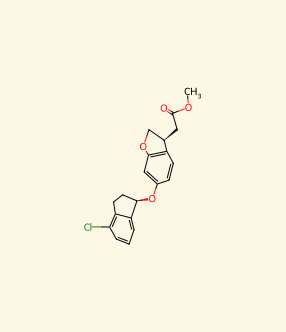 COC(=O)C[C@@H]1COc2cc(O[C@@H]3CCc4c(Cl)cccc43)ccc21